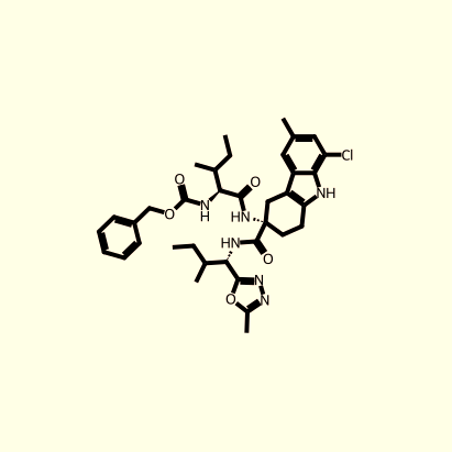 CCC(C)[C@H](NC(=O)OCc1ccccc1)C(=O)N[C@@]1(C(=O)N[C@H](c2nnc(C)o2)C(C)CC)CCc2[nH]c3c(Cl)cc(C)cc3c2C1